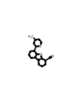 Cc1ccnc(-c2cccc3c2oc2c(C#N)cccc23)c1